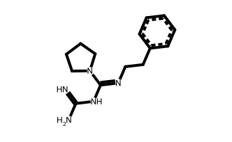 N=C(N)N/C(=N/CCc1ccccc1)N1CCCC1